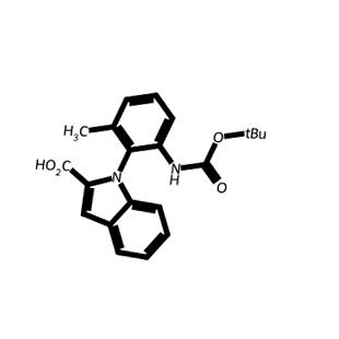 Cc1cccc(NC(=O)OC(C)(C)C)c1-n1c(C(=O)O)cc2ccccc21